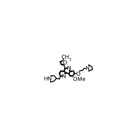 COc1cc2c(cc1OCCCN1CCCC1)nc(-c1ccc(C)o1)c1ccc(CC3CCNCC3)nc12